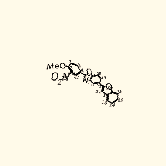 COc1ccc(-c2nc3cc(-c4cc5ccccc5o4)ccc3o2)cc1[N+](=O)[O-]